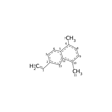 C=Cc1ccc2c(C)ccc(C)c2c1